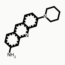 Nc1ccc2cc3ccc(N4CCCCC4)cc3nc2c1